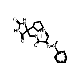 CN(/N=C(\C=N)C(=O)NCC1(C2CCCC2)NC(=O)NC1=O)c1ccccc1